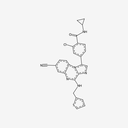 N#Cc1ccc2c(c1)nc(NCc1cccs1)c1ncc(-c3ccc(C(=O)NC4CC4)c(Cl)c3)n12